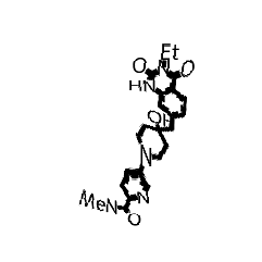 CCn1c(=O)[nH]c2cc(CC3(O)CCN(c4ccc(C(=O)NC)nc4)CC3)ccc2c1=O